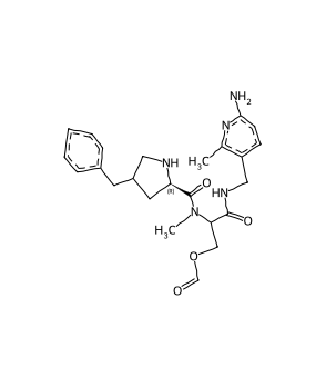 Cc1nc(N)ccc1CNC(=O)C(COC=O)N(C)C(=O)[C@H]1CC(Cc2ccccc2)CN1